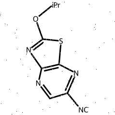 [C-]#[N+]c1cnc2nc(OC(C)C)sc2n1